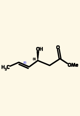 C/C=C/[C@@H](O)CC(=O)OC